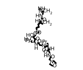 C=C/C(=C\C=C\S(=O)OCC(C)(O)C(=O)[C@H](CC(C)C)NC(=O)CNC(=O)[C@H](CC(C)C)NC(=O)CNC(=O)CN1CCOCC1)NC(=O)NCC(=C)N=N